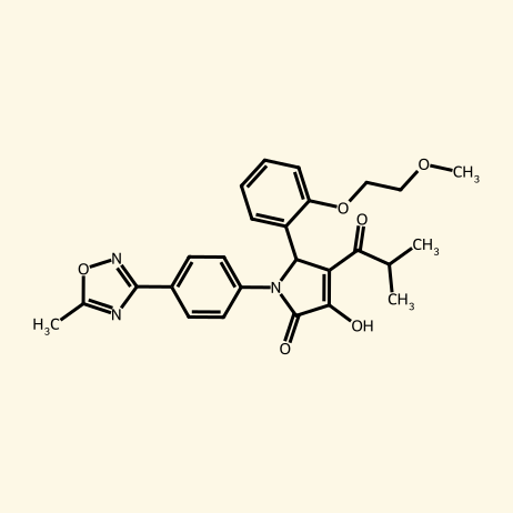 COCCOc1ccccc1C1C(C(=O)C(C)C)=C(O)C(=O)N1c1ccc(-c2noc(C)n2)cc1